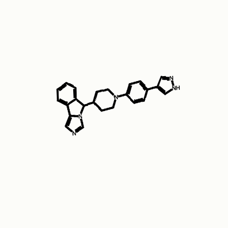 c1ccc2c(c1)-c1cncn1C2C1CCN(c2ccc(-c3cn[nH]c3)cc2)CC1